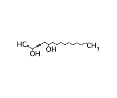 C#CC(O)C#CCC(O)CCCCCCCCCC